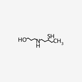 CC[C@H](S)CCNCCCO